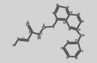 C/C=C/C(=O)NOCc1cccc2ccc(Sc3ccccc3)cc12